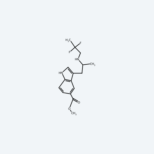 COC(=O)c1ccc2[nH]cc(CC(C)NCC(C)(F)F)c2c1